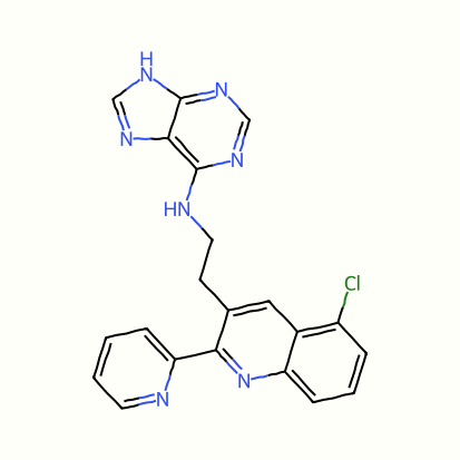 Clc1cccc2nc(-c3ccccn3)c(CCNc3ncnc4[nH]cnc34)cc12